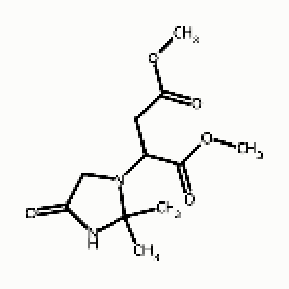 COC(=O)CC(C(=O)OC)N1CC(=O)NC1(C)C